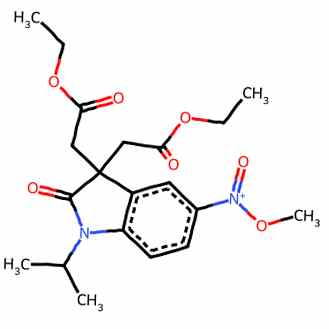 CCOC(=O)CC1(CC(=O)OCC)C(=O)N(C(C)C)c2ccc([N+](=O)OC)cc21